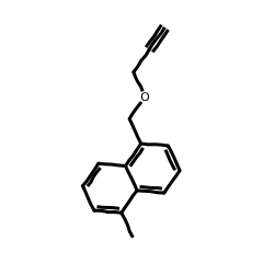 C#CCOCc1cccc2c(C)cccc12